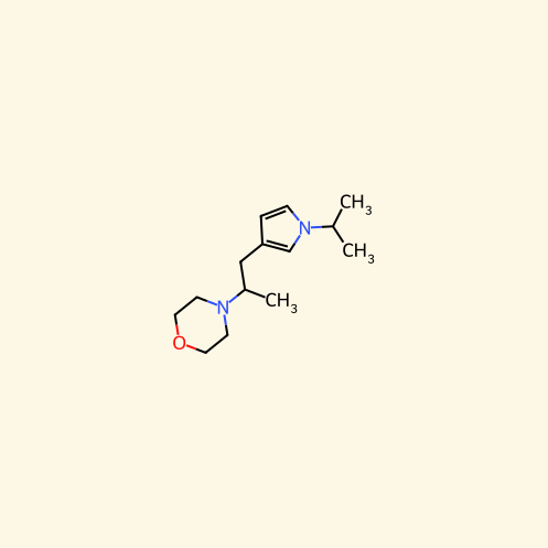 CC(Cc1ccn(C(C)C)c1)N1CCOCC1